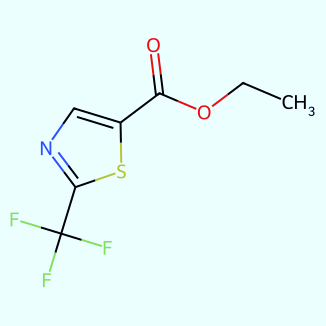 CCOC(=O)c1cnc(C(F)(F)F)s1